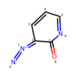 [N-]=[N+]=C1C=CC=NC1=O